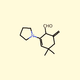 C=C1CC(C)(C)C=C(N2CCCC2)C1C=O